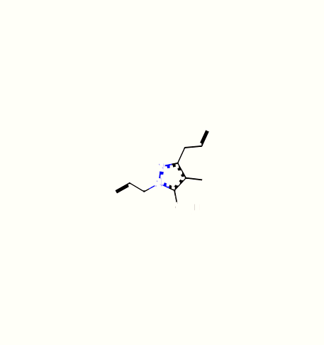 C=CCc1nn(CC=C)c(C(=O)O)c1C